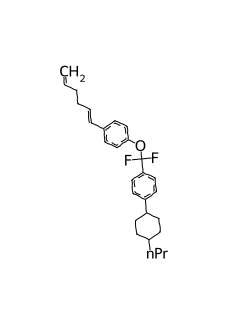 C=CCC/C=C/c1ccc(OC(F)(F)c2ccc(C3CCC(CCC)CC3)cc2)cc1